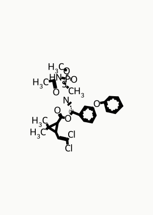 CC1(C)C(C=C(Cl)Cl)C1C(=O)O[C@H](C#N)c1cccc(Oc2ccccc2)c1.COP(=O)(NC(C)=O)SC